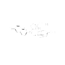 O=C(O)N1CCC(Nc2ccc3cc(Cl)ccc3n2)C1C1[C@@H]2CC3C[C@H]1CC(O)(C3)C2